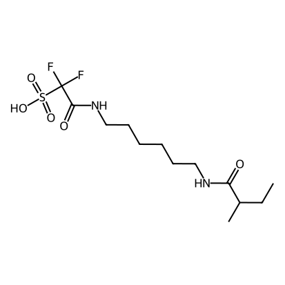 CCC(C)C(=O)NCCCCCCNC(=O)C(F)(F)S(=O)(=O)O